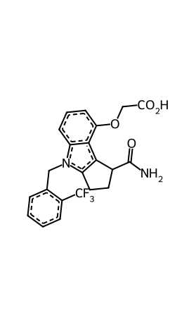 NC(=O)C1CCc2c1c1c(OCC(=O)O)cccc1n2Cc1ccccc1C(F)(F)F